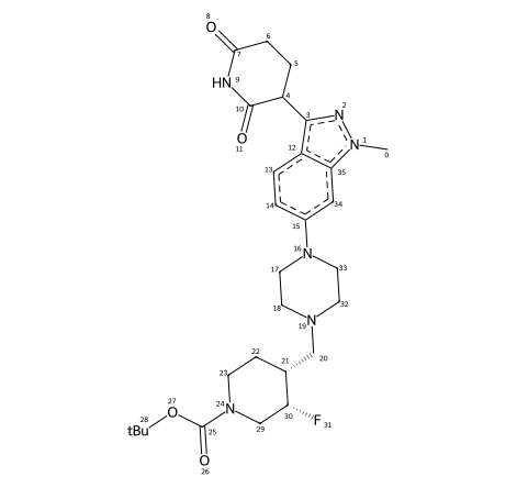 Cn1nc(C2CCC(=O)NC2=O)c2ccc(N3CCN(C[C@H]4CCN(C(=O)OC(C)(C)C)C[C@H]4F)CC3)cc21